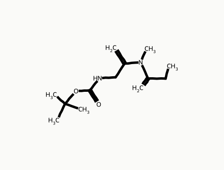 C=C(CC)N(C)C(=C)CNC(=O)OC(C)(C)C